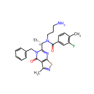 CC[C@@H](c1nc2snc(C)c2c(=O)n1Cc1ccccc1)N(CCCN)C(=O)c1ccc(C)c(F)c1